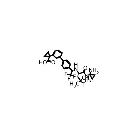 CC(C)(F)C[C@H](N[C@@H](c1ccc(-c2cccc(C3(C(=O)O)CC3)c2)cc1)C(F)(F)F)C(=O)NC1(N)CC1